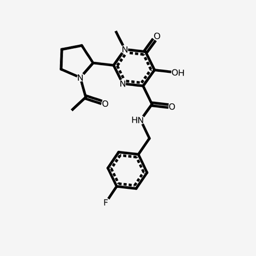 CC(=O)N1CCCC1c1nc(C(=O)NCc2ccc(F)cc2)c(O)c(=O)n1C